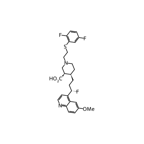 COc1ccc2nccc([C@@H](F)CC[C@@H]3CCN(CCSc4cc(F)ccc4F)C[C@@H]3C(=O)O)c2c1